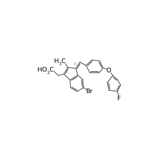 CC1=C(CC(=O)O)c2ccc(Br)cc2/C1=C\c1ccc(Oc2ccc(F)cc2)cc1